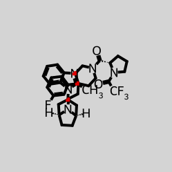 Cc1nc2ccccc2n1C1C[C@H]2CC[C@@H](C1)N2CCC1(c2cccc(F)c2)CCN(C(=O)[C@@H]2CCCN2C(=O)C(F)(F)F)CC1